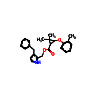 Cc1ccccc1OC1C(C(=O)OCc2[nH]ccc2Cc2ccccc2)C1(C)C